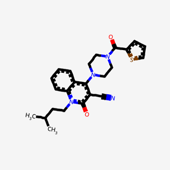 CC(C)CCn1c(=O)c(C#N)c(N2CCN(C(=O)c3cccs3)CC2)c2ccccc21